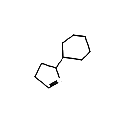 [C]1=NC(C2CCCCC2)CC1